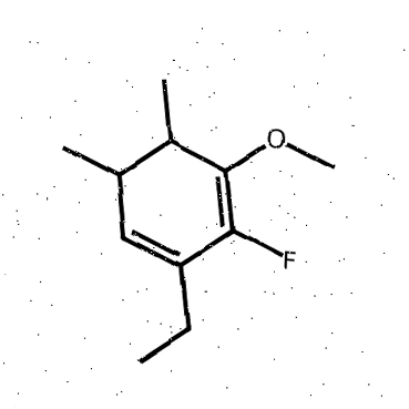 CCC1=CC(C)C(C)C(OC)=C1F